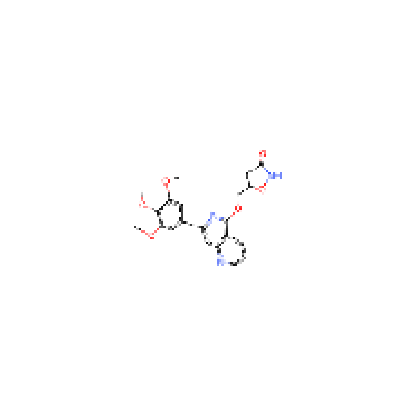 COc1cc(-c2cc3ncccc3c(OCC3CC(=O)NO3)n2)cc(OC)c1OC